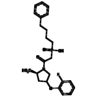 O=C(O)[C@@H]1CC(Oc2ccccc2F)CN1C(=O)CP(=O)(O)CCCCc1ccccc1